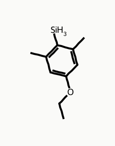 CCOc1cc(C)c([SiH3])c(C)c1